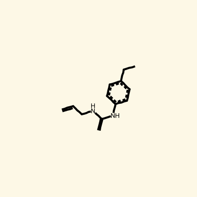 C=CCNC(=C)Nc1ccc(CC)cc1